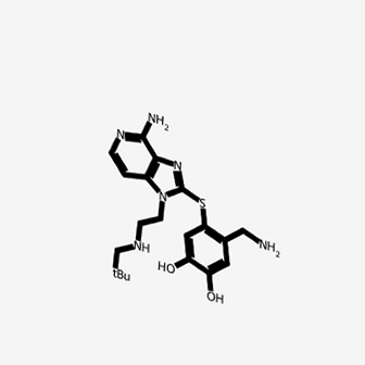 CC(C)(C)CNCCn1c(Sc2cc(O)c(O)cc2CN)nc2c(N)nccc21